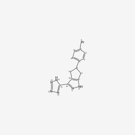 CC(C)c1ccc(C2Cc3[nH]nc(-c4nnn[nH]4)c3C2)cc1